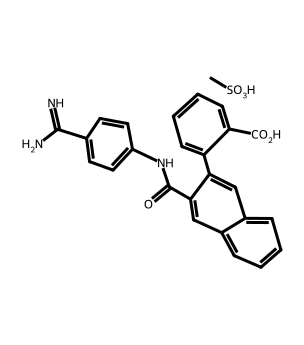 CS(=O)(=O)O.N=C(N)c1ccc(NC(=O)c2cc3ccccc3cc2-c2ccccc2C(=O)O)cc1